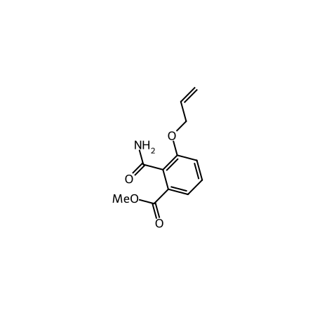 C=CCOc1cccc(C(=O)OC)c1C(N)=O